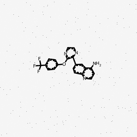 Nc1ccnc2ccc(-c3nccnc3Oc3ccc(C(F)(F)F)cc3)cc12